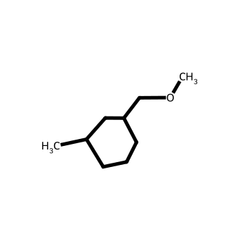 COCC1CCCC(C)C1